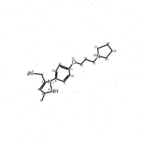 CC(C)CC1=CC(C)NN1c1ccc(OCCCN2CCCC2)cc1